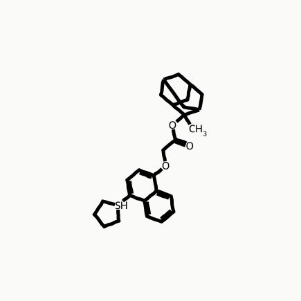 CC1(OC(=O)COc2ccc([SH]3CCCC3)c3ccccc23)C2CC3CC(C2)CC1C3